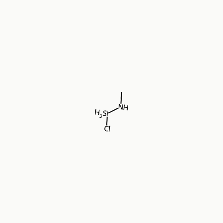 CN[SiH2]Cl